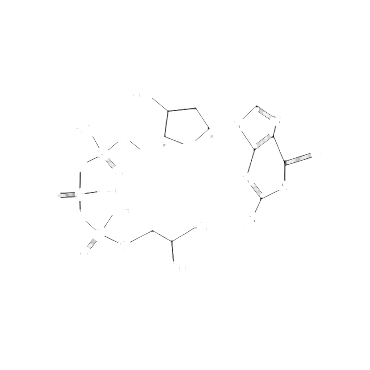 CC(C)C(C)COP(=O)(O)OP(=O)(O)OP(=O)(O)OC[C@H]1O[C@@H](n2cnc3c(=O)[nH]c(N)nc32)CC1O